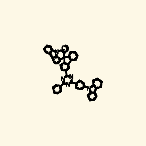 c1ccc(-c2nc(-c3ccc(-n4c5ccccc5c5ccccc54)cc3)nc(-c3ccc4c(c3)-c3ccccc3C43c4ccccc4-n4c5ccccc5c5cccc3c54)n2)cc1